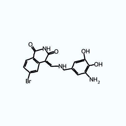 Nc1cc(CN/C=C2\C(=O)NC(=O)c3ccc(Br)cc32)cc(O)c1O